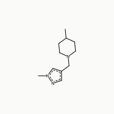 CC1CCN(Cc2cnn(C)c2)CC1